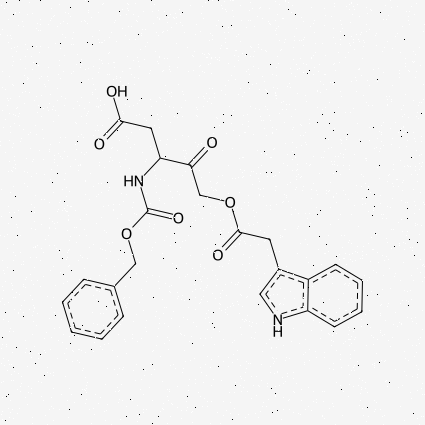 O=C(O)CC(NC(=O)OCc1ccccc1)C(=O)COC(=O)Cc1c[nH]c2ccccc12